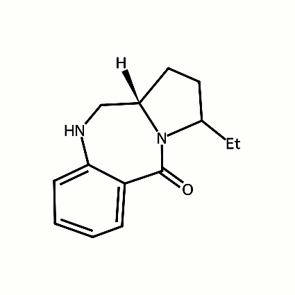 CCC1CC[C@H]2CNc3ccccc3C(=O)N12